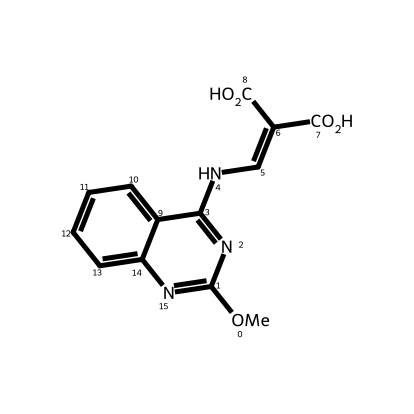 COc1nc(NC=C(C(=O)O)C(=O)O)c2ccccc2n1